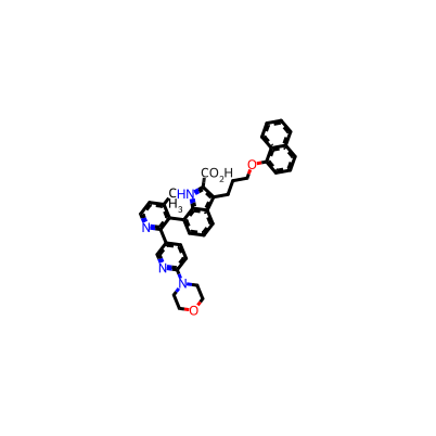 Cc1ccnc(-c2ccc(N3CCOCC3)nc2)c1-c1cccc2c(CCCOc3cccc4ccccc34)c(C(=O)O)[nH]c12